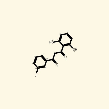 O=C(CC(=O)c1c(O)cccc1O)c1cccc(I)c1